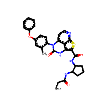 CNCC(=O)NC1CCCC1NC(=O)c1sc2nccc3c2c1NC(=O)N3c1ccc(Oc2ccccc2)cc1C